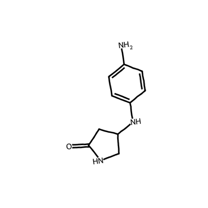 Nc1ccc(NC2CNC(=O)C2)cc1